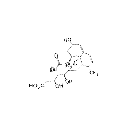 CC[C@H](C)C(=O)O[C@H]1C[C@H](O)C=C2C=C[C@H](C)[C@H](CC[C@@H](O)C[C@@H](O)CC(=O)O)[C@]21C